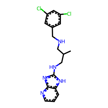 CC(CNCc1cc(Cl)cc(Cl)c1)CNc1nc2ncccc2[nH]1